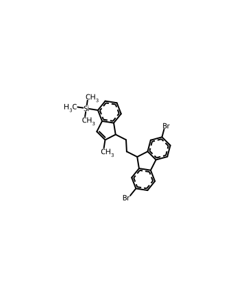 CC1=Cc2c(cccc2[Si](C)(C)C)C1CCC1c2cc(Br)ccc2-c2ccc(Br)cc21